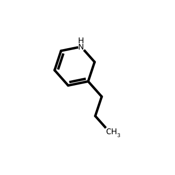 CCCC1=CC=CNC1